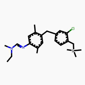 CCN(C)C=Nc1cc(C)c(Cc2ccc(C[Si](C)(C)C)c(Cl)c2)cc1C